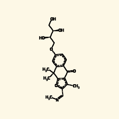 C/N=C\c1oc2c(c1C)C(=O)c1ccc(OC[C@@H](O)[C@H](O)CO)cc1C2(C)C